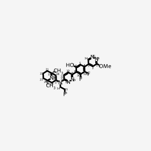 COc1cc(-c2cc(O)c(-c3ccc(N(CCF)C4C[C@]5(C)CCC[C@](C)(C4)N5)nn3)c(F)c2F)cnn1